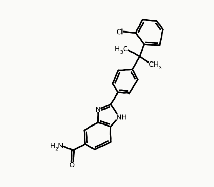 CC(C)(c1ccc(-c2nc3cc(C(N)=O)ccc3[nH]2)cc1)c1ccccc1Cl